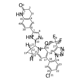 O=C1CCc2cc(-c3cnc([C@@H]4[C@H]5C[C@H]5c5cc(-c6cc(Cl)ccc6-n6cc(C(F)(F)F)nn6)cc(=O)n54)[nH]3)ccc2N1